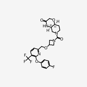 O=C1CO[C@H]2CCN(C(=O)N3CC(OCc4ccc(C(F)(F)F)c(Oc5ccc(F)cc5)n4)C3)C[C@H]2N1